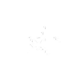 C[C@H]1COc2c(N3CCN(C)CC3)c(F)cc3c(=O)c(C(=O)O)cn1c23.NCCCC[C@H](N)C(=O)O